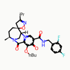 CCCCOc1c2n(cc(C(=O)NCc3ccc(F)cc3F)c1=O)[C@@H]1CN(C2=O)[C@@H](C)CC[C@]12CC(C(C)C)=NO2